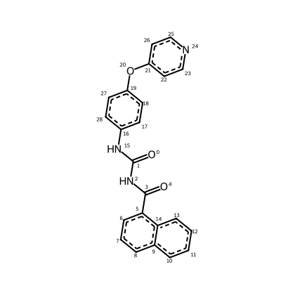 O=C(NC(=O)c1cccc2ccccc12)Nc1ccc(Oc2ccncc2)cc1